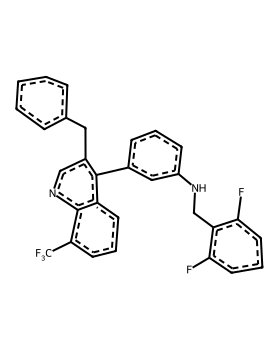 Fc1cccc(F)c1CNc1cccc(-c2c(Cc3ccccc3)cnc3c(C(F)(F)F)cccc23)c1